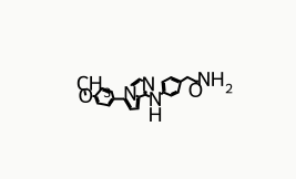 COc1ccc(-c2ccc3c(Nc4ccc(CC(N)=O)cc4)nccn23)cc1